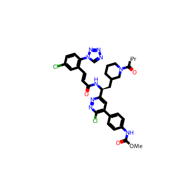 COC(=O)Nc1ccc(-c2cc([C@H](CC3CCCN(C(=O)C(C)C)C3)NC(=O)/C=C/c3cc(Cl)ccc3-n3cnnn3)nnc2Cl)cc1